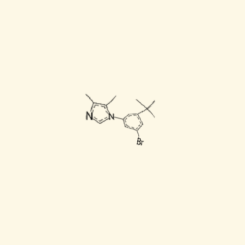 Cc1ncn(-c2cc(Br)cc(C(C)(C)C)c2)c1C